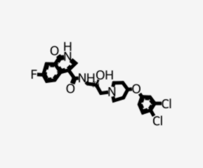 O=C(NC[C@@H](O)CN1CCC(Oc2ccc(Cl)c(Cl)c2)CC1)c1c[nH]c(=O)c2cc(F)ccc12